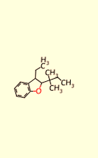 CCC1c2ccccc2OC1C(C)(C)CC